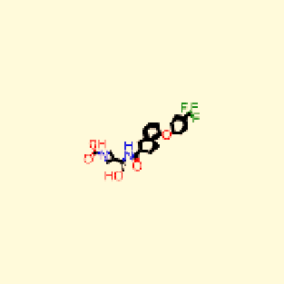 O=C(N[C@@H](CO)C1CN(C(=O)O)C1)c1ccc2c(Oc3ccc(C(F)(F)F)cc3)cccc2c1